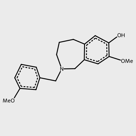 COc1cccc(CN2CCCc3cc(O)c(OC)cc3C2)c1